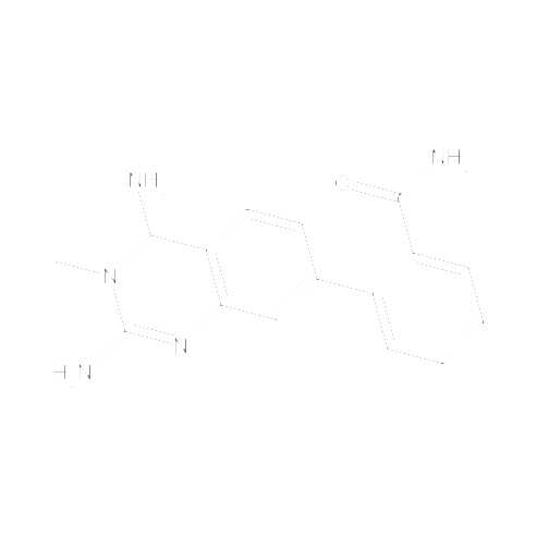 CN1C(N)=Nc2cc(-c3ccccc3C(N)=O)ccc2C1N